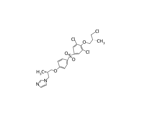 C[C@@H](CCl)COc1c(Cl)cc(S(=O)(=O)c2ccc(OC[C@H](C)Cn3ccnc3)cc2)cc1Cl